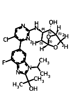 [2H][C@@H]1[C@@H]2O[C@H]([C@@H](O)[C@@H]1Nc1ncc(Cl)c(-c3cc(F)c4nc(C(C)(C)O)n(C(C)C)c4c3)n1)C([2H])([2H])O2